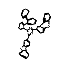 c1ccc(-c2ccccc2-c2ccccc2-c2nc(-c3ccc4c(c3)oc3ccccc34)nc(-c3ccc4sc5ccccc5c4c3)n2)cc1